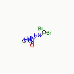 O=c1cc(-c2ccccc2)[nH]c(NCCCNCc2cc(Br)cc(Br)c2)n1